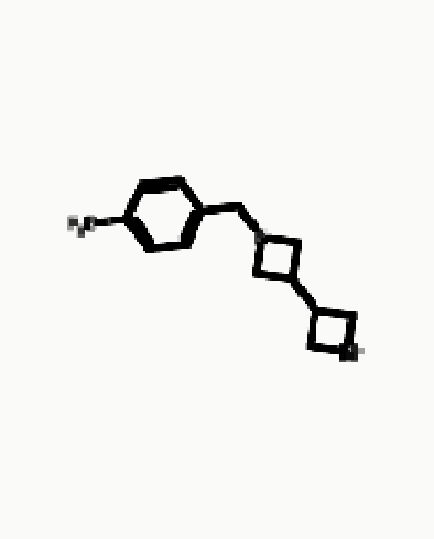 FC(F)(F)c1ccc(CN2CC(C3CNC3)C2)cc1